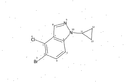 Clc1c(Br)ccc2c1cnn2C1CC1